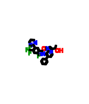 CC(O)c1cnc2c(NC(=O)c3cc(-c4ncccn4)c(C(F)(F)F)cc3F)c(-c3ccccc3)ccn12